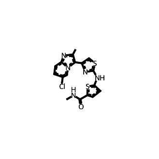 CNC(=O)c1ccc(Nc2nc(-c3c(C)nc4ccc(Cl)cn34)cs2)s1